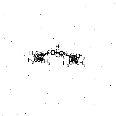 C[SiH]1O[SiH](C)O[Si](C)(CCCOC2CCC(C(C)(C)C3CCC(OCCC[Si]4(C)O[SiH](C)O[SiH](C)O[SiH](C)O4)CC3)CC2)O[SiH](C)O1